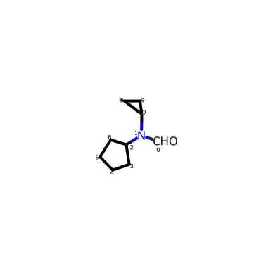 O=CN(C1CCCC1)C1CC1